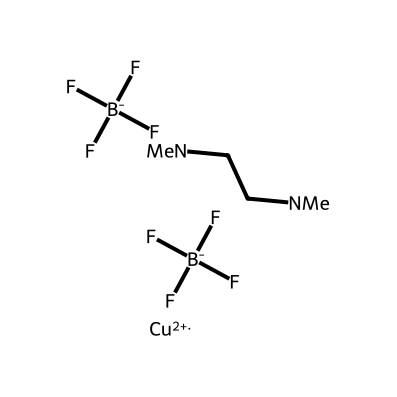 CNCCNC.F[B-](F)(F)F.F[B-](F)(F)F.[Cu+2]